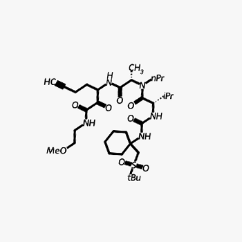 C#CCCC(NC(=O)[C@H](C)N(CCC)C(=O)[C@@H](NC(=O)NC1(CS(=O)(=O)C(C)(C)C)CCCCC1)C(C)C)C(=O)C(=O)NCCOC